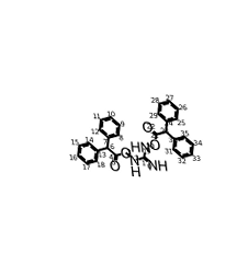 N=C(NOC(=O)C(c1ccccc1)c1ccccc1)NOC(=O)C(c1ccccc1)c1ccccc1